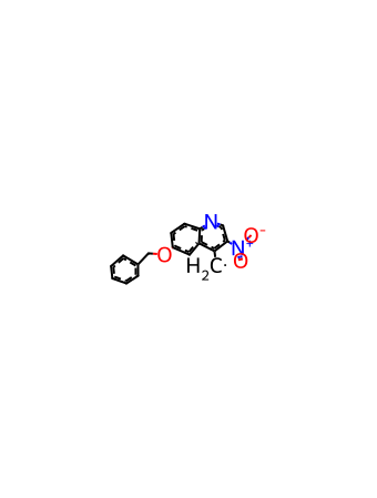 [CH2]c1c([N+](=O)[O-])cnc2ccc(OCc3ccccc3)cc12